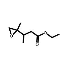 CCOC(=O)CC(C)C1(C)CO1